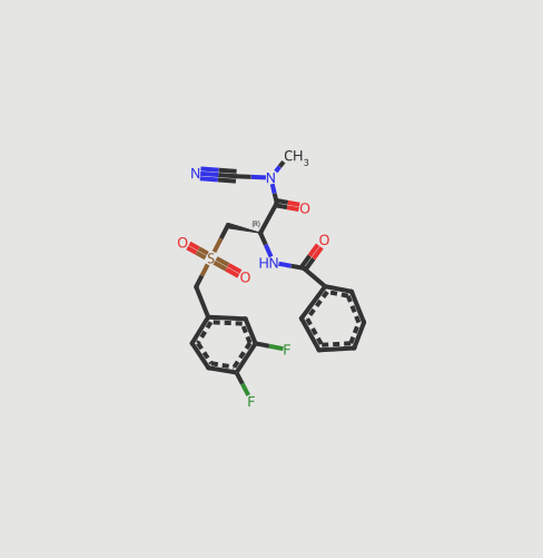 CN(C#N)C(=O)[C@H](CS(=O)(=O)Cc1ccc(F)c(F)c1)NC(=O)c1ccccc1